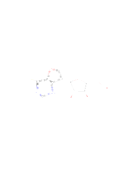 OC[C@H]1O[C@@H](c2coc3c(S)ncnc23)[C@H](O)[C@@H]1O